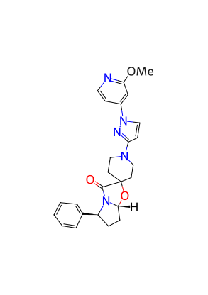 COc1cc(-n2ccc(N3CCC4(CC3)O[C@@H]3CC[C@@H](c5ccccc5)N3C4=O)n2)ccn1